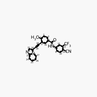 Cc1ccc(C(=O)Nc2ccc(C#N)c(C(F)(F)F)c2)cc1C#Cc1cnc2ccccn12